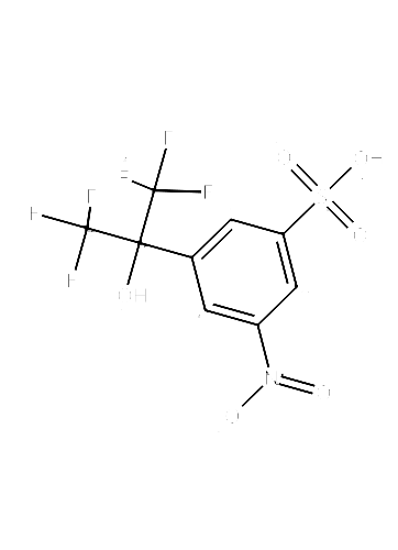 O=[N+]([O-])c1cc(C(O)(C(F)(F)F)C(F)(F)F)cc(S(=O)(=O)O)c1